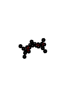 c1ccc(-c2ccc(N(c3ccc4cc5c(cc4c3)oc3c(-c4ccccc4)c4oc6cc7cc(N(c8ccc(-c9ccccc9)cc8-c8ccccc8)c8ccc(-c9ccccc9)cc8-c8ccccc8)ccc7cc6c4cc35)c3ccc(-c4ccccc4)cc3-c3ccccc3)c(-c3ccccc3)c2)cc1